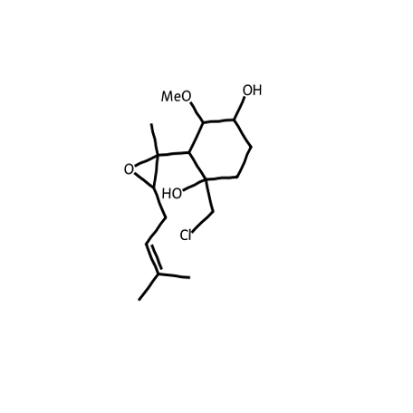 COC1C(O)CCC(O)(CCl)C1C1(C)OC1CC=C(C)C